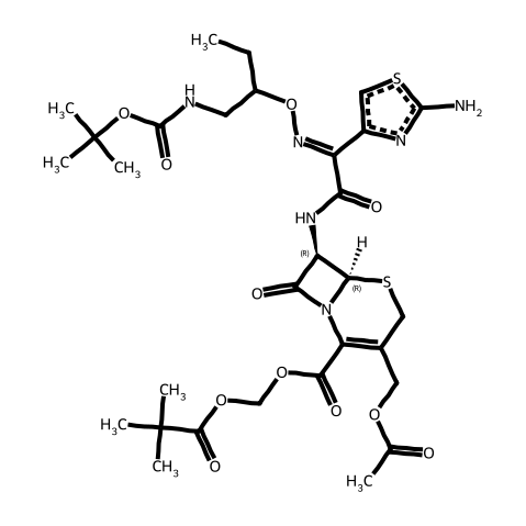 CCC(CNC(=O)OC(C)(C)C)ON=C(C(=O)N[C@@H]1C(=O)N2C(C(=O)OCOC(=O)C(C)(C)C)=C(COC(C)=O)CS[C@H]12)c1csc(N)n1